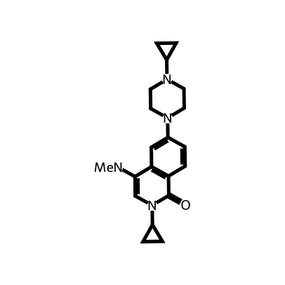 CNc1cn(C2CC2)c(=O)c2ccc(N3CCN(C4CC4)CC3)cc12